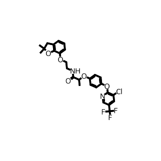 CC(Oc1ccc(Oc2ncc(C(F)(F)F)cc2Cl)cc1)C(=O)NCCOc1cccc2c1OC(C)(C)C2